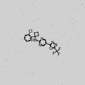 FC(F)(F)c1nnc(-c2cnc(NC3(c4ccccc4Cl)CCC3)nc2)o1